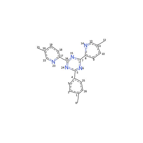 Cc1ccc(-c2nc(-c3ccc(C)cn3)nc(-c3ccc(C)cn3)n2)cc1